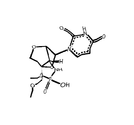 COC[C@@]12COC(C(n3ccc(=O)[nH]c3=O)O1)[C@@H]2NP(=O)(O)OC